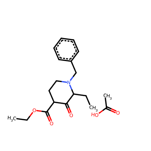 CC(=O)O.CCOC(=O)C1CCN(Cc2ccccc2)C(CC)C1=O